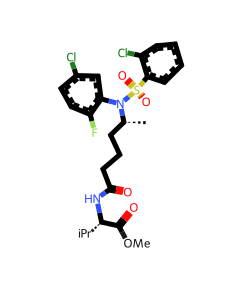 COC(=O)[C@@H](NC(=O)CCC[C@@H](C)N(c1cc(Cl)ccc1F)S(=O)(=O)c1ccccc1Cl)C(C)C